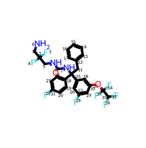 NCC(F)(F)CNC(=O)NC(Cc1ccccc1)(c1ccc(F)cc1)c1cc(F)cc(OC(F)(F)C(F)F)c1